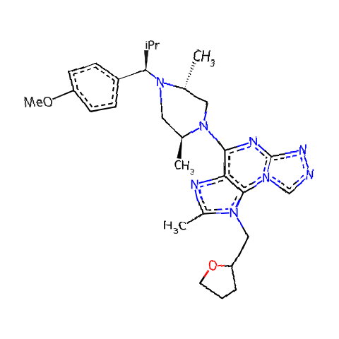 COc1ccc([C@@H](C(C)C)N2C[C@H](C)N(c3nc4nncn4c4c3nc(C)n4CC3CCCO3)C[C@H]2C)cc1